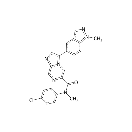 CN(C(=O)c1cn2c(-c3ccc4c(cnn4C)c3)cnc2cn1)c1ccc(Cl)cc1